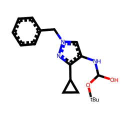 CC(C)(C)OC(O)Nc1cn(Cc2ccccc2)nc1C1CC1